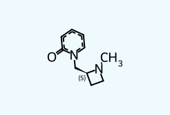 CN1CC[C@H]1Cn1ccccc1=O